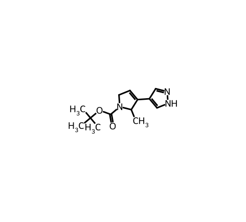 CC1C(c2cn[nH]c2)=CCN1C(=O)OC(C)(C)C